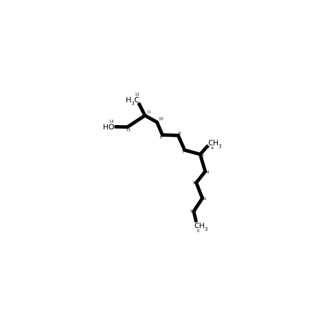 CCCCCC(C)CCCCC(C)CO